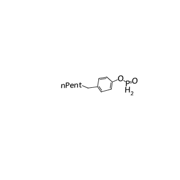 CCCCCCc1ccc(O[PH2]=O)cc1